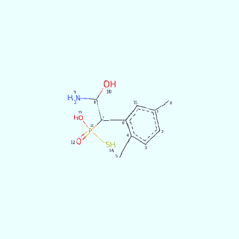 Cc1ccc(C)c(C(C(N)O)P(=O)(O)S)c1